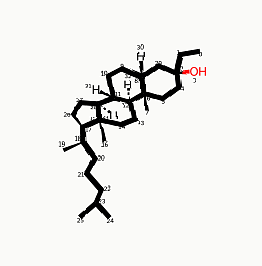 CC[C@]1(O)CC[C@@]2(C)[C@H](CC[C@@H]3[C@@H]2CC[C@]2(C)[C@@H]([C@H](C)CCCC(C)C)CC[C@@H]32)C1